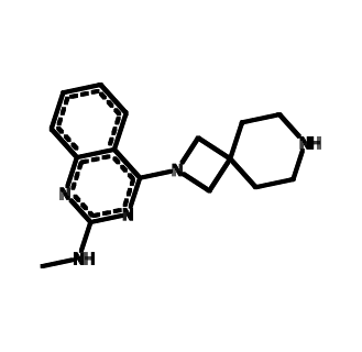 CNc1nc(N2CC3(CCNCC3)C2)c2ccccc2n1